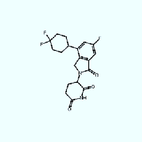 O=C1CCC(N2Cc3c(cc(F)cc3C3CCC(F)(F)CC3)C2=O)C(=O)N1